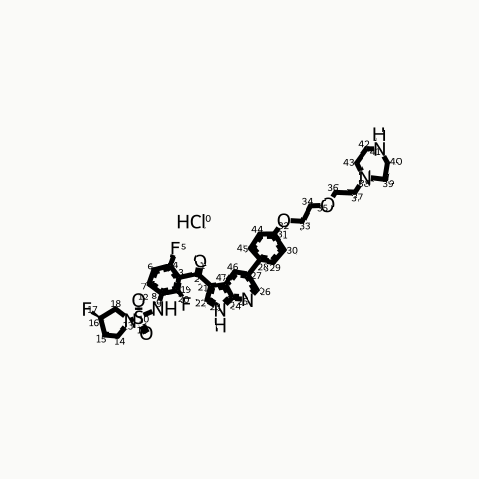 Cl.O=C(c1c(F)ccc(NS(=O)(=O)N2CC[C@@H](F)C2)c1F)c1c[nH]c2ncc(-c3ccc(OCCOCCN4CCNCC4)cc3)cc12